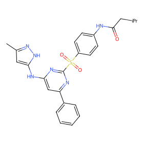 Cc1cc(Nc2cc(-c3ccccc3)nc(S(=O)(=O)c3ccc(NC(=O)CC(C)C)cc3)n2)[nH]n1